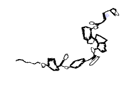 CCCCCCOc1ccc(C(=O)Oc2ccc(C(=O)Oc3cccc4c3[C@]3(CCc5cccc(OC(=O)/C=C/c6ccoc6)c53)CC4)cc2)cc1